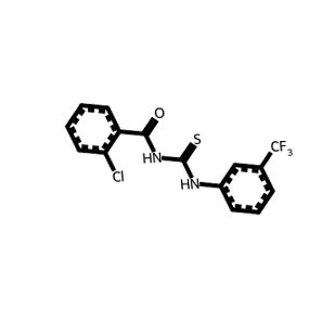 O=C(NC(=S)Nc1cccc(C(F)(F)F)c1)c1ccccc1Cl